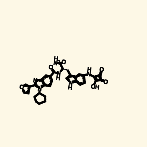 NC(=O)[C@H](Cc1c[nH]c2ccc(Nc3c(O)c(=O)c3=O)cc12)NC(=O)c1ccc2c(c1)nc(-c1ccoc1)n2C1CCCCC1